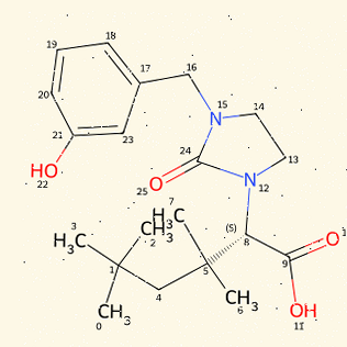 CC(C)(C)CC(C)(C)[C@@H](C(=O)O)N1CCN(Cc2cccc(O)c2)C1=O